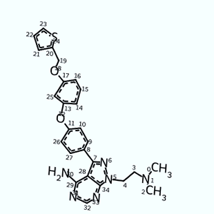 CN(C)CCn1nc(-c2ccc(Oc3cccc(OCc4cccs4)c3)cc2)c2c(N)ncnc21